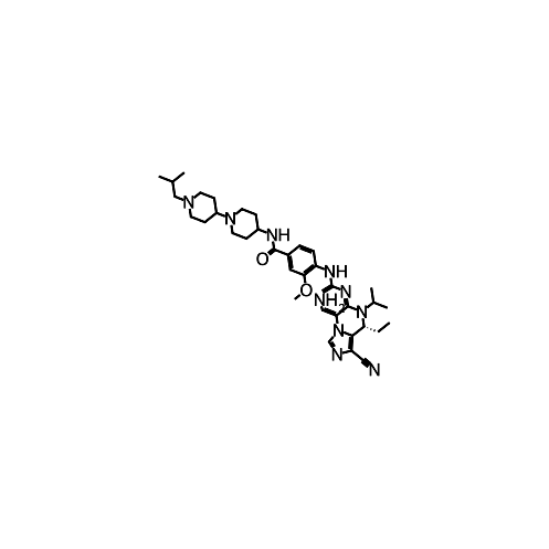 C=C(/N=C1\C(=C/N)n2cnc(C#N)c2[C@@H](CC)N1C(C)C)Nc1ccc(C(=O)NC2CCN(C3CCN(CC(C)C)CC3)CC2)cc1OC